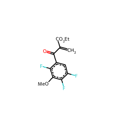 C=C(C(=O)OCC)C(=O)c1cc(F)c(F)c(OC)c1F